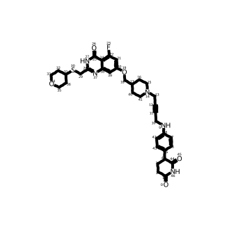 O=C1CCC(c2ccc(NCC#CCN3CCC(COc4cc(F)c5c(=O)[nH]c(CSC6CCOCC6)nc5c4)CC3)cc2)C(=O)N1